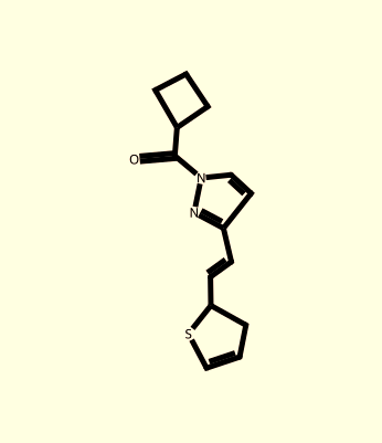 O=C(C1CCC1)n1ccc(/C=C/C2CC=CS2)n1